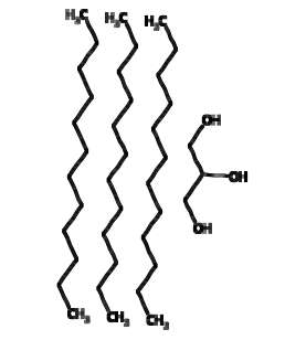 CCCCCCCCCCCC.CCCCCCCCCCCC.CCCCCCCCCCCC.OCC(O)CO